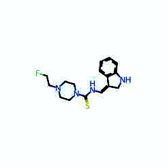 FCCN1CCN(C(=S)N/C=C2/CNc3ccccc32)CC1